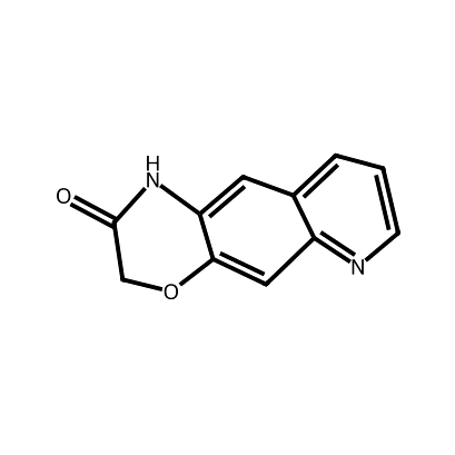 O=C1COc2cc3ncccc3cc2N1